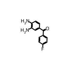 Nc1ccc(C(=O)c2ccc(F)cc2)cc1N